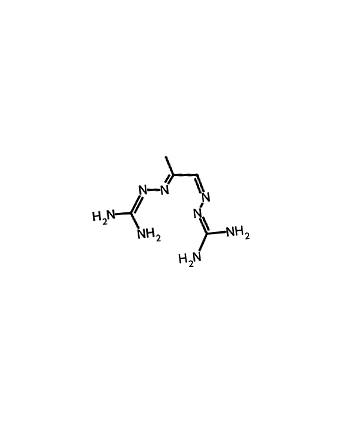 CC(/C=N\N=C(N)N)=NN=C(N)N